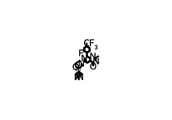 Cc1nc2c(-c3ccc(C(F)(F)F)cc3F)nc(N3CCO[C@@H](c4cnn(C)c4)C3)cc2c(=O)n1C